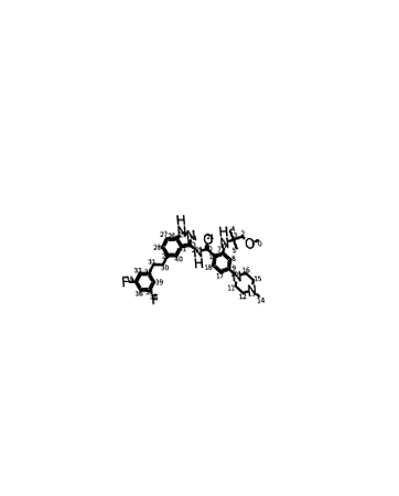 COCC(C)(C)Nc1cc(N2CCN(C)CC2)ccc1C(=O)Nc1n[nH]c2ccc(CCc3cc(F)cc(F)c3)cc12